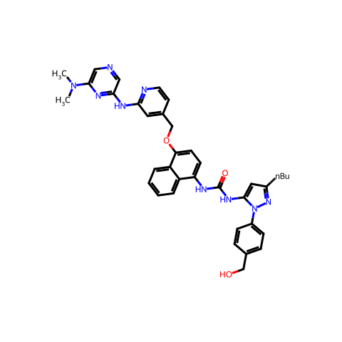 CCCCc1cc(NC(=O)Nc2ccc(OCc3ccnc(Nc4cncc(N(C)C)n4)c3)c3ccccc23)n(-c2ccc(CO)cc2)n1